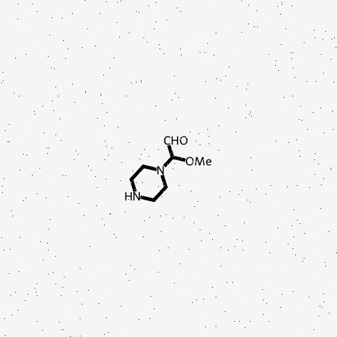 COC(C=O)N1CCNCC1